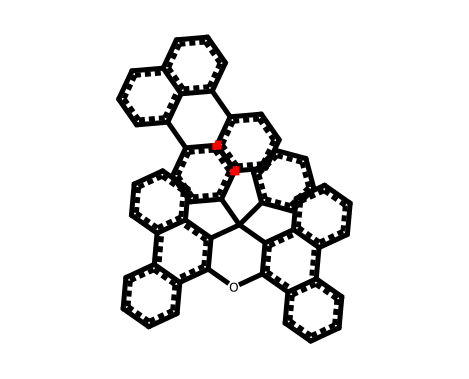 c1ccc(-c2cccc3cccc(-c4ccc(C5(c6ccccc6)c6c(c7ccccc7c7ccccc67)Oc6c5c5ccccc5c5ccccc65)cc4)c23)cc1